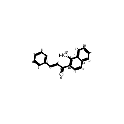 O=C(C=Cc1ccccc1)c1ccc2ccccc2c1O